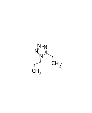 [CH2]Cc1nnnn1CCC